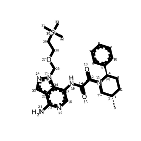 C[C@H]1CC[C@H](c2ccccc2)N(C(=O)C(=O)Nc2cnc(N)c3cnn(COCC[Si](C)(C)C)c23)C1